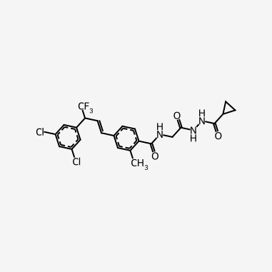 Cc1cc(C=CC(c2cc(Cl)cc(Cl)c2)C(F)(F)F)ccc1C(=O)NCC(=O)NNC(=O)C1CC1